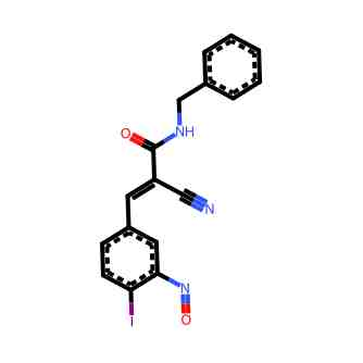 N#C/C(=C\c1ccc(I)c(N=O)c1)C(=O)NCc1ccccc1